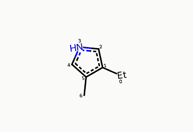 [CH2]Cc1c[nH]cc1C